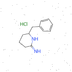 Cl.N=C1CCCC(Cc2ccccc2)N1